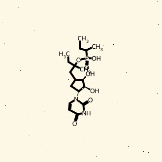 CCC(C)P(=O)(O)OC(C)(CC)CC1C[C@@H](n2ccc(=O)[nH]c2=O)[C@H](O)[C@@H]1O